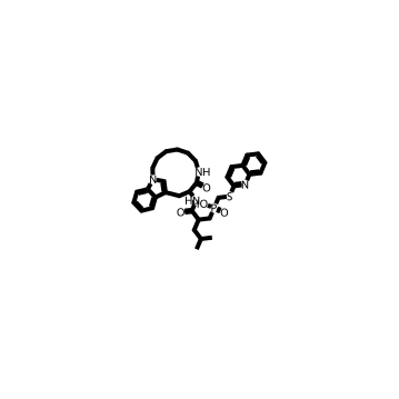 CC(C)CC(CP(=O)(O)CSc1ccc2ccccc2n1)C(=O)NC1Cc2cn(c3ccccc23)CCCCCCNC1=O